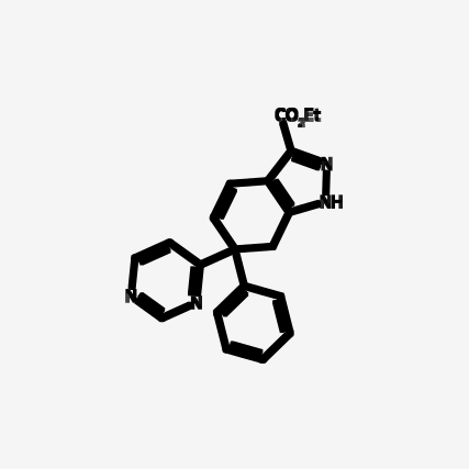 CCOC(=O)c1n[nH]c2c1C=CC(c1ccccc1)(c1ccncn1)C2